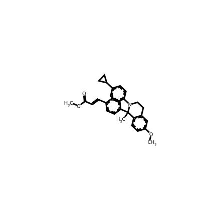 COC(=O)/C=C/c1ccc(C2(C)c3ccc(OC)cc3CCN2c2ccc(C3CC3)cc2)cc1